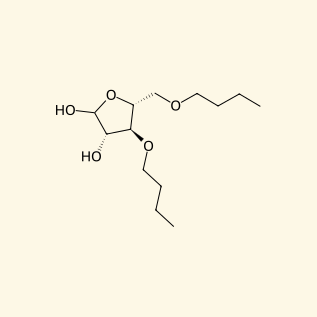 CCCCOC[C@H]1OC(O)[C@@H](O)[C@@H]1OCCCC